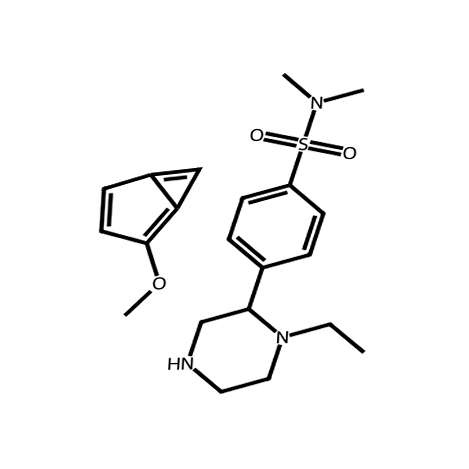 CCN1CCNCC1c1ccc(S(=O)(=O)N(C)C)cc1.COc1ccc2cc1-2